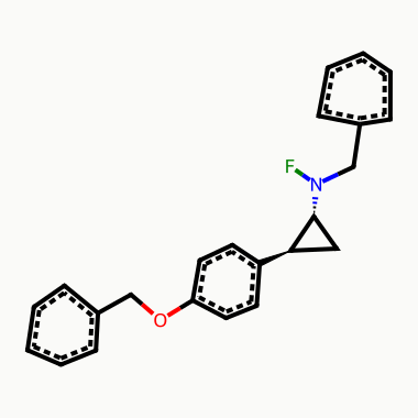 FN(Cc1ccccc1)[C@@H]1C[C@H]1c1ccc(OCc2ccccc2)cc1